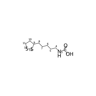 O=C(O)NCCCCCC1CCSS1